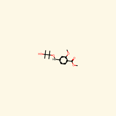 COC(=O)c1ccc(BOC(C)(C)C(C)(C)O)cc1OC